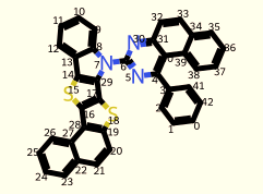 c1ccc(-c2nc(-n3c4ccccc4c4sc5c(sc6ccc7ccccc7c65)c43)nc3ccc4ccccc4c23)cc1